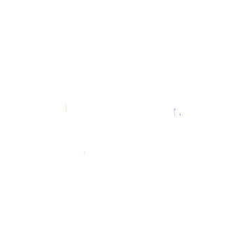 COc1cc(F)ccc1C(C)c1ccc(C#N)cc1